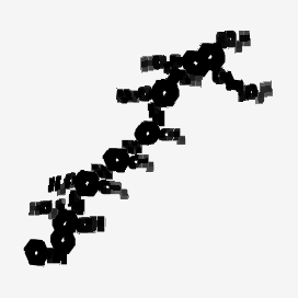 COc1cc(C(=O)Nc2cc3c(OCCCS(=O)(=O)O)cc(S(=O)(=O)O)cc3cc2S(=O)(=O)O)ccc1N=Nc1ccc(N=Nc2ccc(N=Nc3cc(C)c(N=Nc4c(S(=O)(=O)O)cc5cc(Nc6ccccc6)ccc5c4O)cc3C)cc2C)cc1C